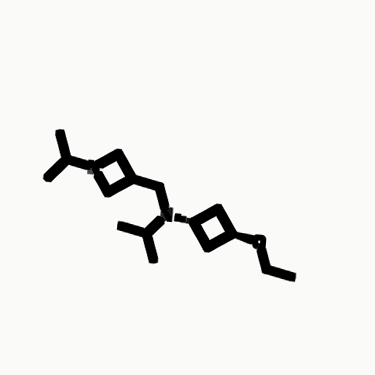 CCO[C@H]1C[C@H](N(CC2CN(C(C)C)C2)C(C)C)C1